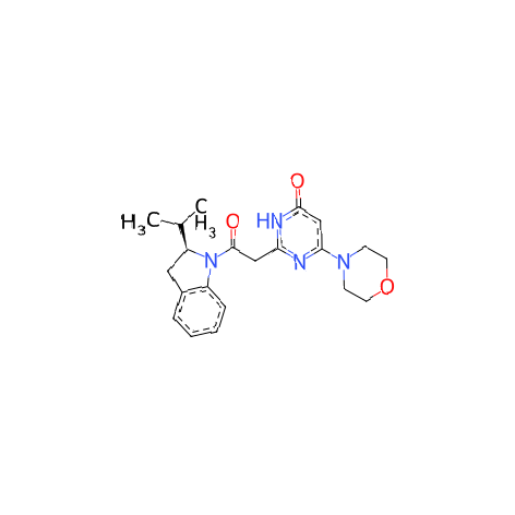 CC(C)[C@@H]1Cc2ccccc2N1C(=O)Cc1nc(N2CCOCC2)cc(=O)[nH]1